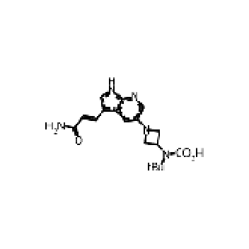 CC(C)(C)N(C(=O)O)C1CN(c2cnc3[nH]cc(/C=C/C(N)=O)c3c2)C1